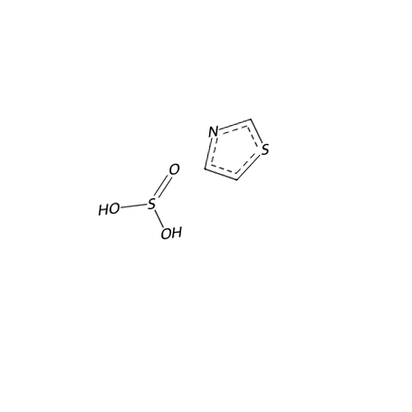 O=S(O)O.c1cscn1